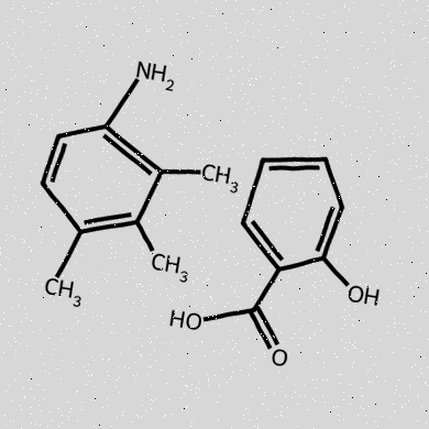 Cc1ccc(N)c(C)c1C.O=C(O)c1ccccc1O